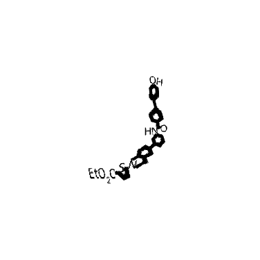 CCOC(=O)c1ccc(N2CCc3cc(-c4cccc(NC(=O)c5ccc(-c6ccc(O)cc6)cc5)c4)ccc3C2)s1